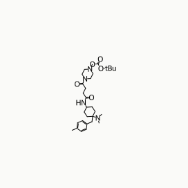 Cc1ccc(CC2(N(C)C)CCC(NC(=O)CCC(=O)N3CCN(OC(=O)OC(C)(C)C)CC3)CC2)cc1